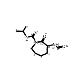 CC(C)NC(=S)N1CCCC[C@H](N[C]=O)C1=O